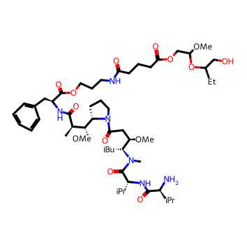 CCC(CO)OC(COC(=O)CCCC(=O)NCCCOC(=O)[C@H](Cc1ccccc1)NC(=O)[C@H](C)[C@@H](OC)[C@@H]1CCCN1C(=O)C[C@@H](OC)[C@H]([C@@H](C)CC)N(C)C(=O)[C@H](NC(=O)[C@@H](N)C(C)C)C(C)C)OC